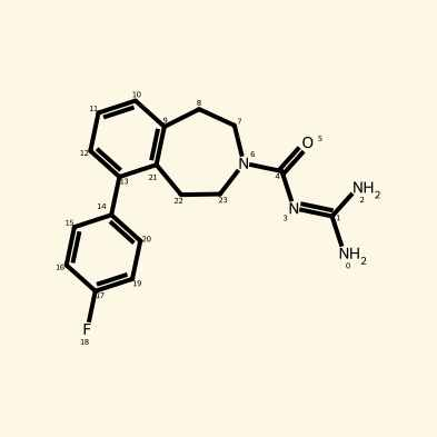 NC(N)=NC(=O)N1CCc2cccc(-c3ccc(F)cc3)c2CC1